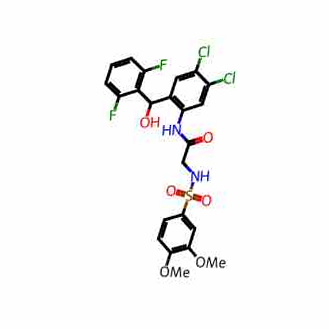 COc1ccc(S(=O)(=O)NCC(=O)Nc2cc(Cl)c(Cl)cc2C(O)c2c(F)cccc2F)cc1OC